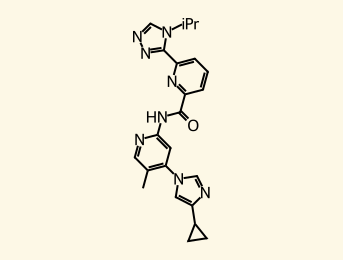 Cc1cnc(NC(=O)c2cccc(-c3nncn3C(C)C)n2)cc1-n1cnc(C2CC2)c1